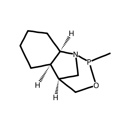 CP1OC[C@@H]2CN1[C@@H]1CCCC[C@H]21